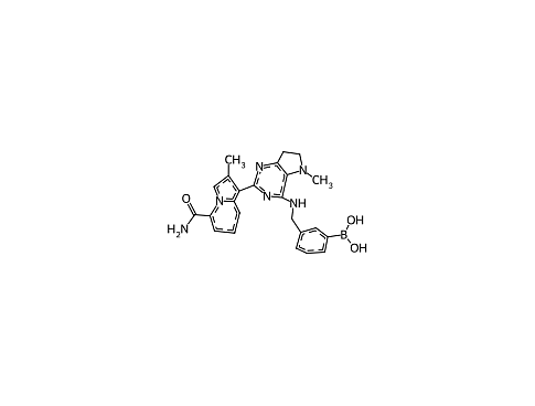 Cc1cn2c(C(N)=O)cccc2c1-c1nc2c(c(NCc3cccc(B(O)O)c3)n1)N(C)CC2